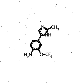 Cc1ncc(-c2ccc(N)c(OC(F)(F)F)c2)[nH]1